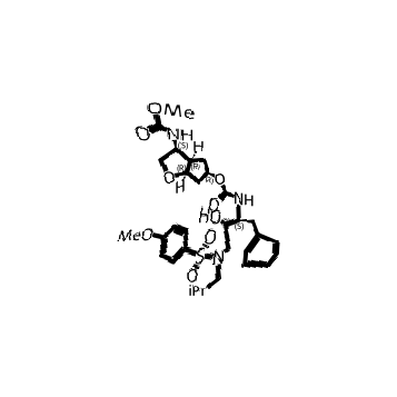 COC(=O)N[C@@H]1CO[C@@H]2C[C@H](OC(=O)N[C@@H](Cc3ccccc3)[C@H](O)CN(CC(C)C)S(=O)(=O)c3ccc(OC)cc3)C[C@H]12